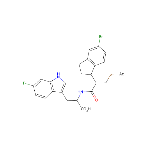 CC(=O)SCC(C(=O)NC(Cc1c[nH]c2cc(F)ccc12)C(=O)O)C1CCc2cc(Br)ccc21